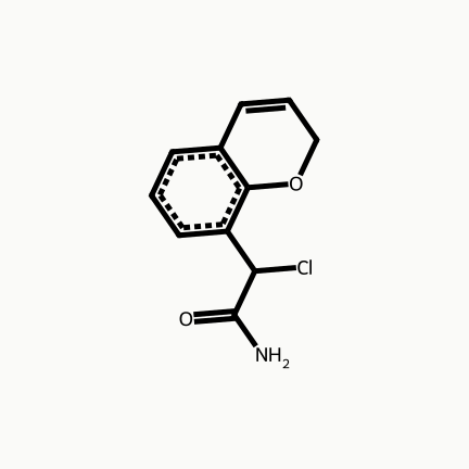 NC(=O)C(Cl)c1cccc2c1OCC=C2